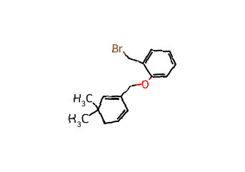 CC1(C)C=C(COc2ccccc2CBr)C=CC1